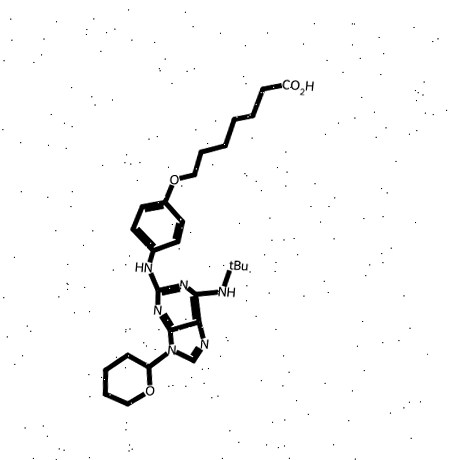 CC(C)(C)Nc1nc(Nc2ccc(OCCCCCCC(=O)O)cc2)nc2c1ncn2C1CCCCO1